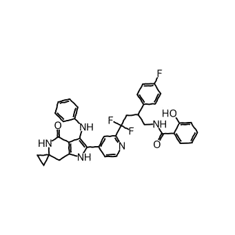 O=C(NCC(CC(F)(F)c1cc(-c2[nH]c3c(c2Nc2ccccc2)C(=O)NC2(CC2)C3)ccn1)c1ccc(F)cc1)c1ccccc1O